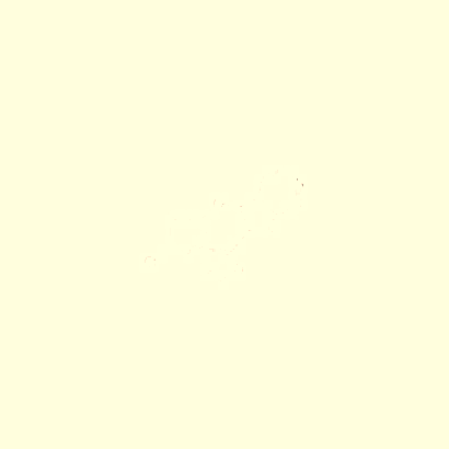 Clc1ccc(Oc2c(-c3ccco3)sc3cnccc23)cc1